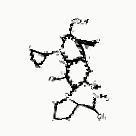 CC(N)C1CCCN1c1c(O)cc2c(=O)c(C(=O)O)cn(C3CC3)c2c1Cl